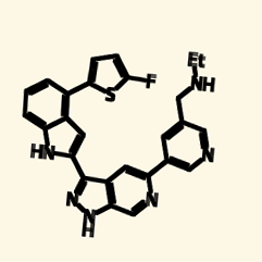 CCNCc1cncc(-c2cc3c(-c4cc5c(-c6ccc(F)s6)cccc5[nH]4)n[nH]c3cn2)c1